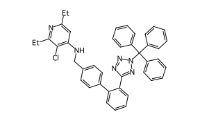 CCc1cc(NCc2ccc(-c3ccccc3-c3nnn(C(c4ccccc4)(c4ccccc4)c4ccccc4)n3)cc2)c(Cl)c(CC)n1